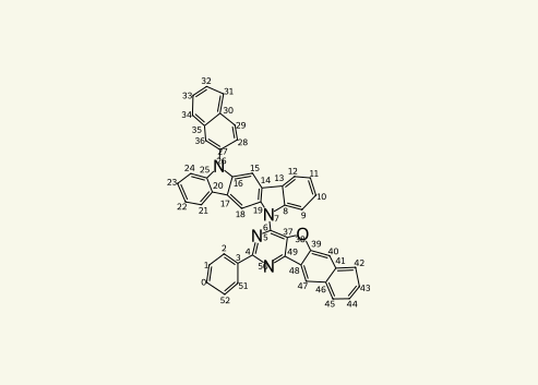 c1ccc(-c2nc(-n3c4ccccc4c4cc5c(cc43)c3ccccc3n5-c3ccc4ccccc4c3)c3oc4cc5ccccc5cc4c3n2)cc1